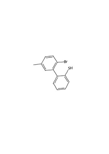 Cc1ccc(Br)c(-c2ccccc2S)c1